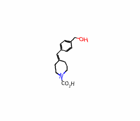 O=C(O)N1CCC(=Cc2ccc(CO)cc2)CC1